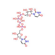 O=c1ccn(C2O[C@@H](COP(=O)(O)OP(=O)(O)OP(=O)(O)OP(=O)(O)OCC3O[C@H](n4ccc(=O)[nH]c4=O)C(O)C3O)[C@@H](O)[C@H]2O)c(=O)[nH]1